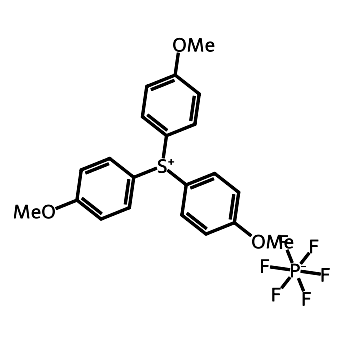 COc1ccc([S+](c2ccc(OC)cc2)c2ccc(OC)cc2)cc1.F[P-](F)(F)(F)(F)F